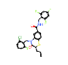 C=CCC1Sc2ccc(C(=O)NCc3c(F)cc(F)cc3F)cc2N(Cc2c(F)cccc2Cl)C1=O